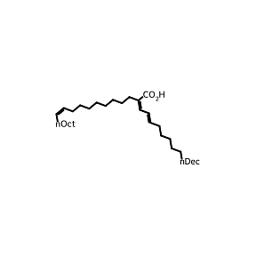 CCCCCCCC/C=C\CCCCCCCCC(=CC=CCCCCCCCCCCCCCCC)C(=O)O